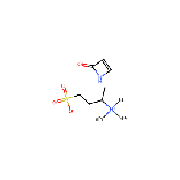 CCC[N+](CC)(CCC)C(C)CCS(=O)(=O)[O-].O=C1C=CN1